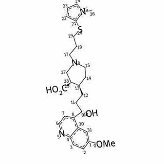 COc1ccc2nccc([C@@H](O)CC[C@@H]3CCN(CCCSc4cccn4C)C[C@@H]3C(=O)O)c2c1